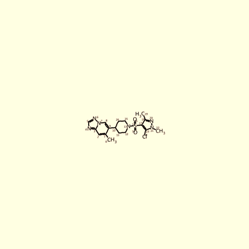 Cc1cc2ncnn2cc1C1CCN(S(=O)(=O)c2c(C)nn(C)c2Cl)CC1